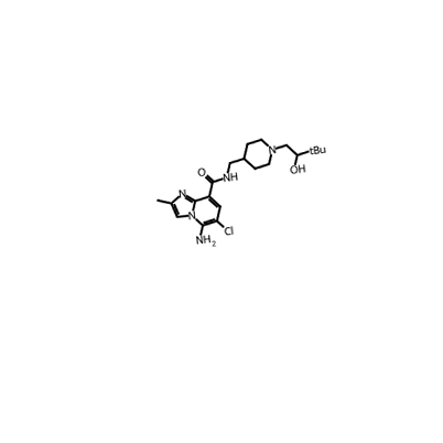 Cc1cn2c(N)c(Cl)cc(C(=O)NCC3CCN(CC(O)C(C)(C)C)CC3)c2n1